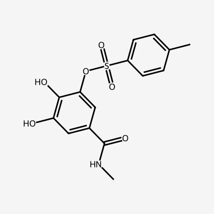 CNC(=O)c1cc(O)c(O)c(OS(=O)(=O)c2ccc(C)cc2)c1